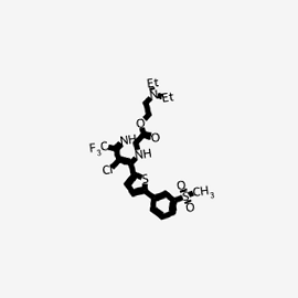 CCN(CC)CCOC(=O)CN/C(=C(/Cl)C(=N)C(F)(F)F)c1ccc(-c2cccc(S(C)(=O)=O)c2)s1